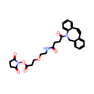 O=C(CCC(=O)N1Cc2ccccc2C#Cc2ccccc21)NCCOCCC(=O)ON1C(=O)CCC1=O